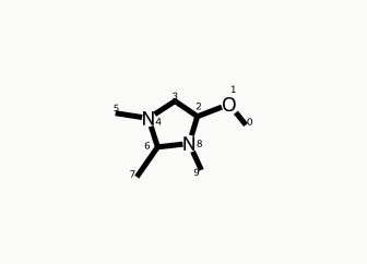 COC1CN(C)C(C)N1C